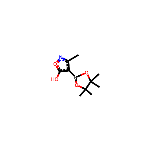 Cc1noc(O)c1B1OC(C)(C)C(C)(C)O1